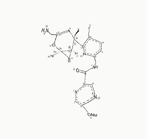 COc1cnc(C(=O)Nc2ccc(F)c([C@@]3(C)N=C(N)O[C@@H]4N[C@@H]43)n2)cn1